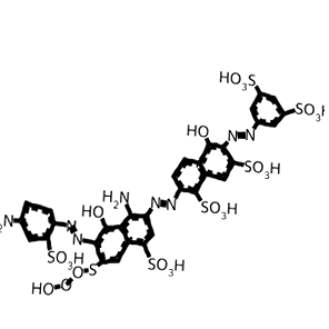 Nc1c(N=Nc2ccc3c(O)c(N=Nc4cc(S(=O)(=O)O)cc(S(=O)(=O)O)c4)c(S(=O)(=O)O)cc3c2S(=O)(=O)O)cc(S(=O)(=O)O)c2cc(SOOO)c(N=Nc3ccc([N+](=O)[O-])cc3S(=O)(=O)O)c(O)c12